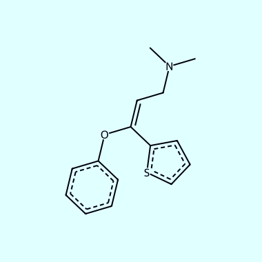 CN(C)CC=C(Oc1ccccc1)c1cccs1